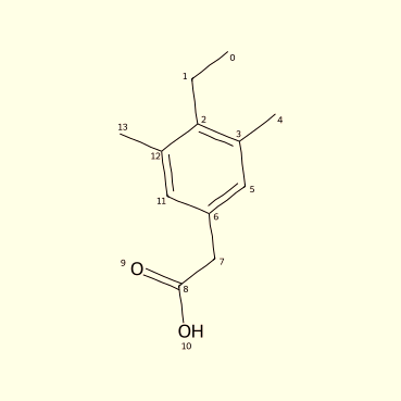 CCc1c(C)cc(CC(=O)O)cc1C